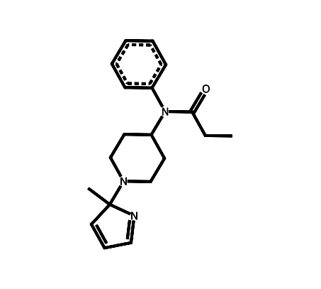 CCC(=O)N(c1ccccc1)C1CCN(C2(C)C=CC=N2)CC1